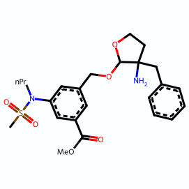 CCCN(c1cc(COC2OCCC2(N)Cc2ccccc2)cc(C(=O)OC)c1)S(C)(=O)=O